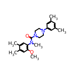 COc1cc(C)c(C)cc1N(C)C(=O)N1CCN(c2cc(C)cc(C)c2)CC1